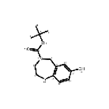 CC(C)(C)OC(=O)N1CCSc2ccc(O)cc2C1